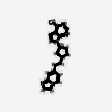 Clc1ncnc2c1ccn2C1CCC(CCc2ccn3ccnc3c2)C1